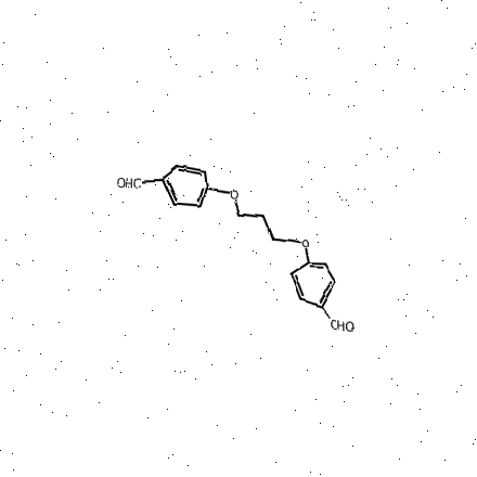 O=Cc1ccc(OCCCOc2ccc(C=O)cc2)cc1